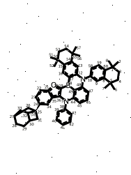 CC1(C)CCC(C)(C)c2cc(N3c4cc5c(cc4B4c6oc7ccc([C@@]89CC%10CCC(C8)C9C%10)cc7c6N(c6ccccc6)c6cccc3c64)C(C)(C)CCC5(C)C)ccc21